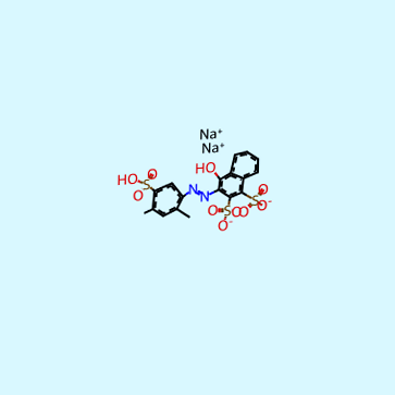 Cc1cc(C)c(S(=O)(=O)O)cc1N=Nc1c(S(=O)(=O)[O-])c(S(=O)(=O)[O-])c2ccccc2c1O.[Na+].[Na+]